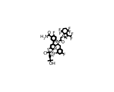 CC(C)(O)C#CC1(Cl)Nc2nc(C(Cc3cc(F)cc(F)c3)NC(=O)Cn3nc(C(F)F)c4c3C(F)(F)CCC4(F)F)c(-c3ccc(F)c(C(N)=O)c3)cc2S1